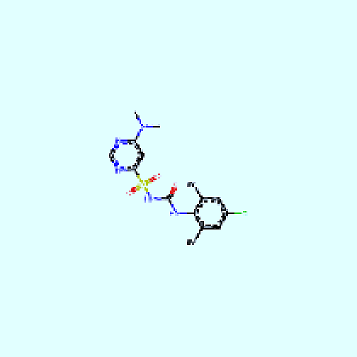 CC(C)c1cc(Cl)cc(C(C)C)c1NC(=O)NS(=O)(=O)c1cc(N(C)C)ncn1